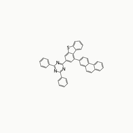 c1ccc(-c2nc(-c3ccccc3)nc(-c3cc(-c4ccc5c(ccc6ccccc65)c4)c4c(c3)sc3ccccc34)n2)cc1